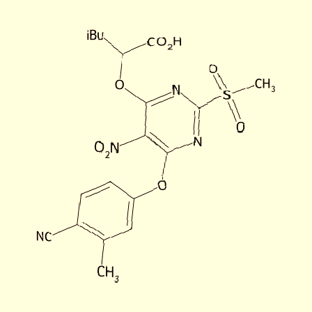 CCC(C)C(Oc1nc(S(C)(=O)=O)nc(Oc2ccc(C#N)c(C)c2)c1[N+](=O)[O-])C(=O)O